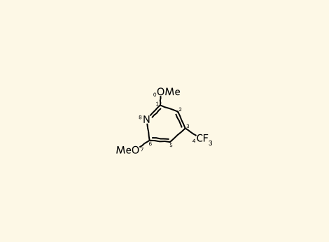 COc1cc(C(F)(F)F)cc(OC)n1